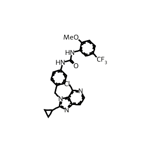 COc1ccc(C(F)(F)F)cc1NC(=O)Nc1ccc(Cn2c(C3CC3)nc3ccnc(Cl)c32)cc1